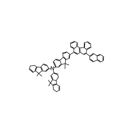 CC1(C)C2=CC(N(c3ccc4c(c3)C(C)(C)C3=C4CCC=C3)c3ccc4c(c3)C(C)(C)c3cc(-c5cc6cc(-c7ccc8ccccc8c7)c7ccccc7c6c6ccccc56)ccc3-4)=CCC2C2=C1CCC=C2